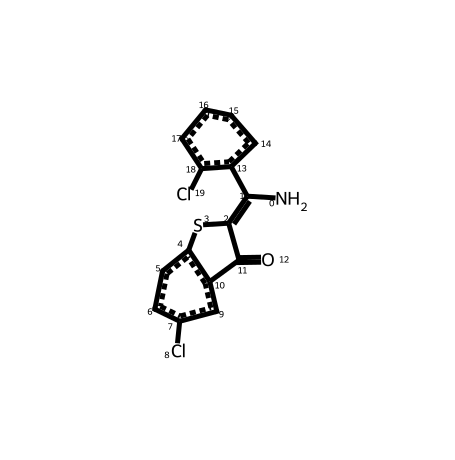 N/C(=C1/Sc2ccc(Cl)cc2C1=O)c1ccccc1Cl